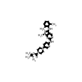 Cc1cccc(C)c1Nc1nn(C)c2nc(Nc3ccc(N4CCN(C(=O)OC(C)(C)C)CC4)cn3)ncc12